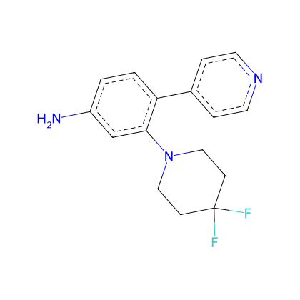 Nc1ccc(-c2ccncc2)c(N2CCC(F)(F)CC2)c1